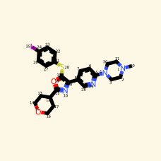 CN1CCN(c2ccc(-c3nc(C4CCOCC4)oc3Sc3ccc(I)cc3)cn2)CC1